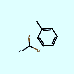 CCCC(Br)Br.Cc1ccccc1